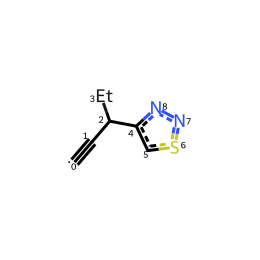 [C]#CC(CC)c1csnn1